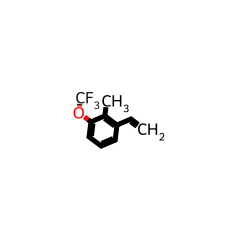 C=Cc1cccc(OC(F)(F)F)c1C